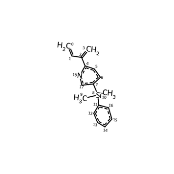 C=CC(=C)c1ccc([Si](C)(C)c2ccccc2)cn1